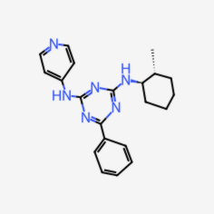 C[C@@H]1CCCC[C@H]1Nc1nc(Nc2ccncc2)nc(-c2ccccc2)n1